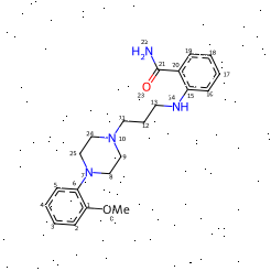 COc1ccccc1N1CCN(CCCNc2ccccc2C(N)=O)CC1